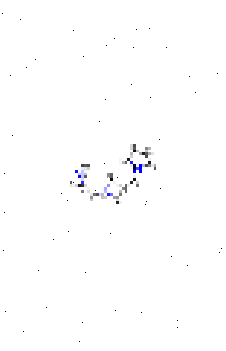 CN1CC1CN1CC(CN2CCCC2)C1